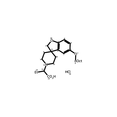 CCCCCCCCOc1ccc2c(c1)C1(CCN(C(CC)C(=O)O)CC1)CO2.Cl